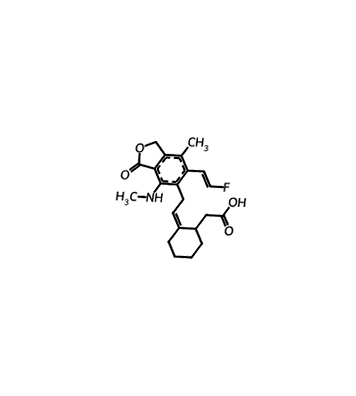 CNc1c(CC=C2CCCCC2CC(=O)O)c(C=CF)c(C)c2c1C(=O)OC2